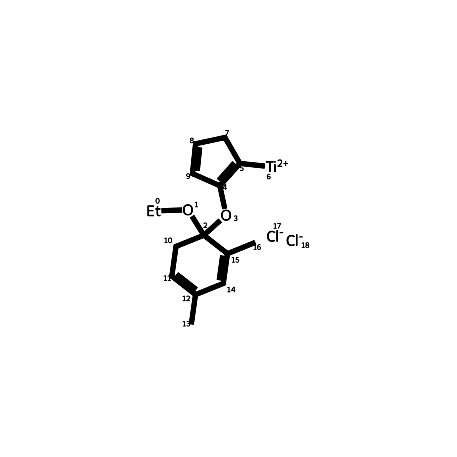 CCOC1(OC2=[C]([Ti+2])CC=C2)CC=C(C)C=C1C.[Cl-].[Cl-]